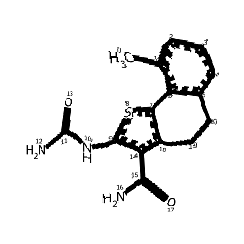 Cc1cccc2c1-c1sc(NC(N)=O)c(C(N)=O)c1CC2